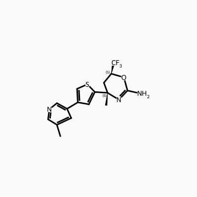 Cc1cncc(-c2csc([C@]3(C)C[C@@H](C(F)(F)F)OC(N)=N3)c2)c1